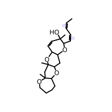 C/C=C\C=C/C1OC2CC3OC4CCCCOC4(C)CC3(C)OC2C=CC1(C)O